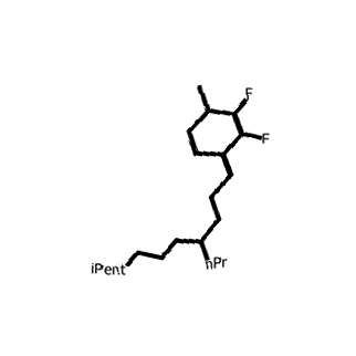 CCCC(C)CCCC(CCC)CCCC1CCC(C)C(F)C1F